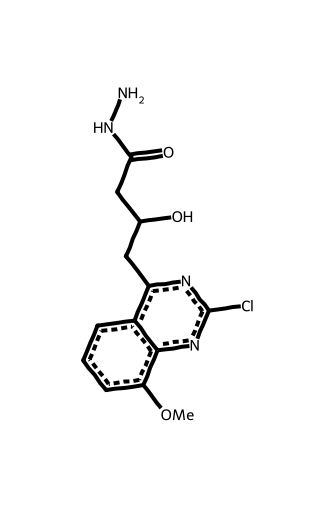 COc1cccc2c(CC(O)CC(=O)NN)nc(Cl)nc12